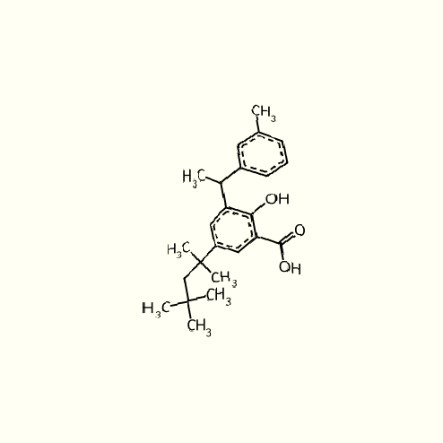 Cc1cccc(C(C)c2cc(C(C)(C)CC(C)(C)C)cc(C(=O)O)c2O)c1